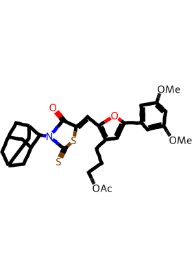 COc1cc(OC)cc(-c2cc(CCCOC(C)=O)c(/C=C3\SC(=S)N(C4C5CC6CC(C5)CC4C6)C3=O)o2)c1